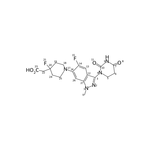 Cn1nc(N2CCC(=O)NC2=O)c2cc(F)c(N3CCC(F)(CC(=O)O)CC3)cc21